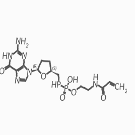 C=CC(=O)NCCOP(=O)(O)PC[C@@H]1CC[C@H](n2cnc3c(=O)[nH]c(N)nc32)O1